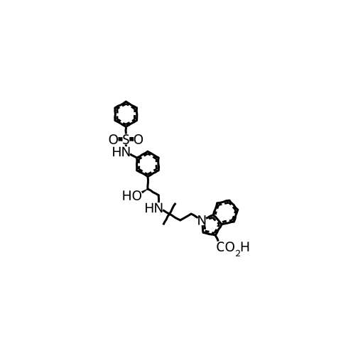 CC(C)(CCn1cc(C(=O)O)c2ccccc21)NC[C@@H](O)c1cccc(NS(=O)(=O)c2ccccc2)c1